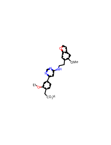 CCOc1cc(-c2cc(NCCc3cc4occc4cc3OC)ncn2)ccc1CC(=O)O